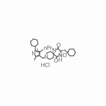 CCCN1C(=O)[C@@H](CC2(O)CCCCC2)NC(=O)C12CCN(Cc1c(C)nn(C3CCCCC3)c1C)CC2.Cl